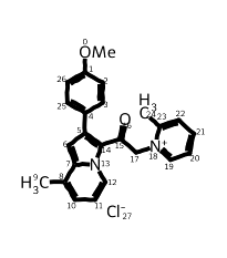 COc1ccc(-c2cc3c(C)cccn3c2C(=O)C[n+]2ccccc2C)cc1.[Cl-]